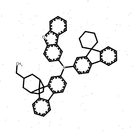 CCC1CC2CCCC(C1)C21c2ccccc2-c2ccc(N(c3ccc4c(c3)C3(CCCCC3)c3ccccc3-4)c3ccc4oc5ccccc5c4c3)cc21